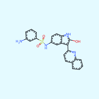 Nc1cccc(S(=O)(=O)Nc2ccc3[nH]c(O)c(-c4ccc5ccccc5n4)c3c2)c1